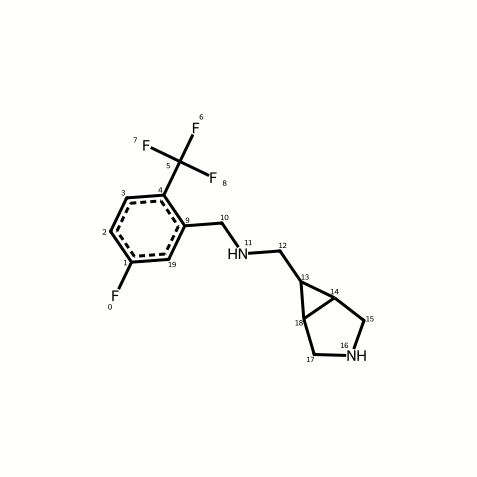 Fc1ccc(C(F)(F)F)c(CNCC2C3CNCC23)c1